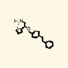 NCC(OCc1ccc(CCc2ccccc2)cc1)c1cccs1